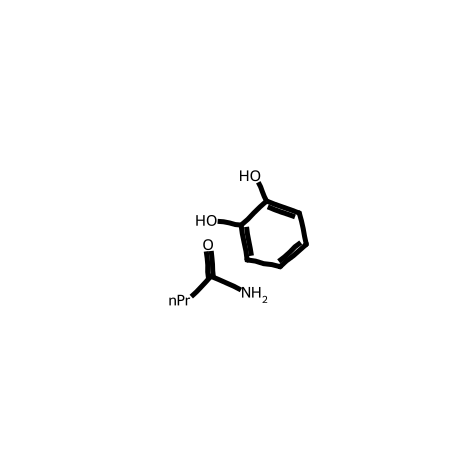 CCCC(N)=O.Oc1ccccc1O